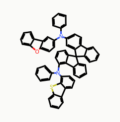 c1ccc(N(c2ccc3c(c2)C2(c4ccccc4-3)c3ccccc3-c3c(N(c4ccccc4)c4cccc5c4sc4ccccc45)cccc32)c2ccc3oc4ccccc4c3c2)cc1